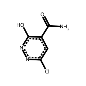 NC(=O)c1cc(Cl)nnc1O